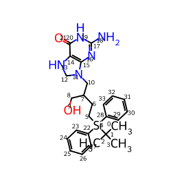 CC(C)(C)[Si](CCC(CO)CN1CNc2c1nc(N)[nH]c2=O)(c1ccccc1)c1ccccc1